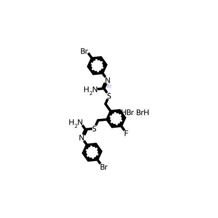 Br.Br.NC(=Nc1ccc(Br)cc1)SCc1cc(F)ccc1CS/C(N)=N/c1ccc(Br)cc1